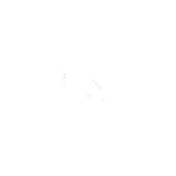 COCC(C)Nc1ncc2c(-c3cnn(C4COC4)c3)cc(C3CCC(C)(O)CC3)n2n1